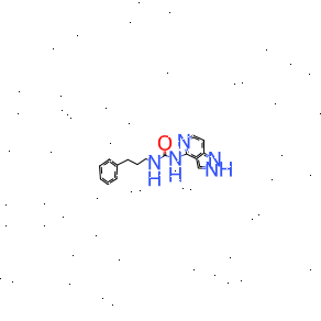 O=C(NCCCc1ccccc1)Nc1nccc2n[nH]cc12